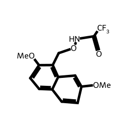 COc1ccc2ccc(OC)c(CONC(=O)C(F)(F)F)c2c1